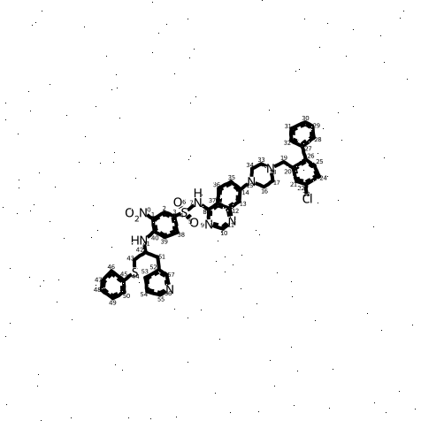 O=[N+]([O-])c1cc(S(=O)(=O)Nc2ncnc3cc(N4CCN(Cc5cc(Cl)ccc5-c5ccccc5)CC4)ccc23)ccc1NC(CSc1ccccc1)Cc1cccnc1